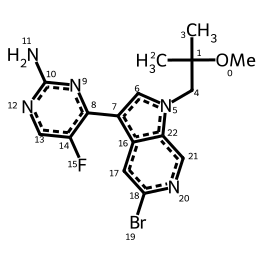 COC(C)(C)Cn1cc(-c2nc(N)ncc2F)c2cc(Br)ncc21